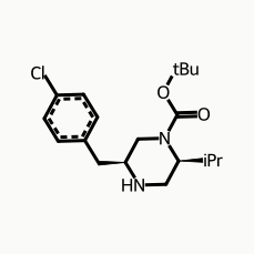 CC(C)[C@H]1CN[C@@H](Cc2ccc(Cl)cc2)CN1C(=O)OC(C)(C)C